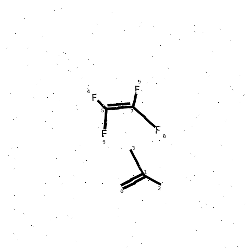 C=C(C)C.FC(F)=C(F)F